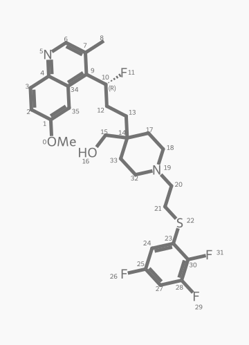 COc1ccc2ncc(C)c([C@H](F)CCC3(CO)CCN(CCSc4cc(F)cc(F)c4F)CC3)c2c1